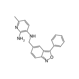 Cc1ccc(NCc2ccc3noc(-c4ccccc4)c3c2)c(N)n1